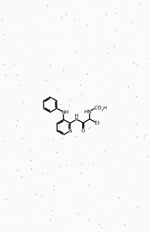 CCC(NC(=O)O)C(=O)Nc1ncccc1Nc1ccccc1